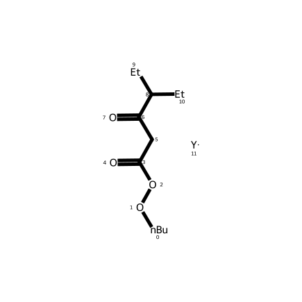 CCCCOOC(=O)CC(=O)C(CC)CC.[Y]